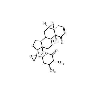 C[C@H]1CC([C@]2([C@H]3CCC4C5C[C@H]6O[C@]67CC=CC(=O)[C@]7(C)C5CC[C@@]43C)CO2)OC(=O)[C@@H]1C